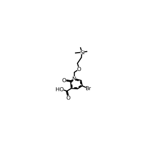 C[Si](C)(C)CCOCn1cc(Br)cc(C(=O)O)c1=O